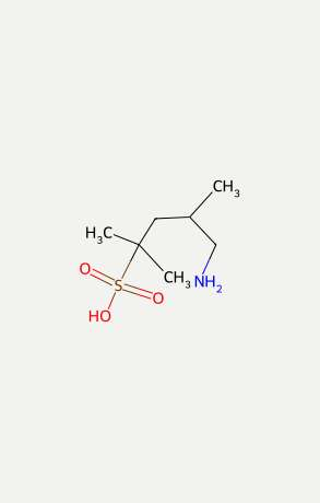 CC(CN)CC(C)(C)S(=O)(=O)O